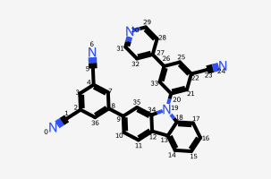 N#Cc1cc(C#N)cc(-c2ccc3c4ccccc4n(-c4cc(C#N)cc(-c5ccncc5)c4)c3c2)c1